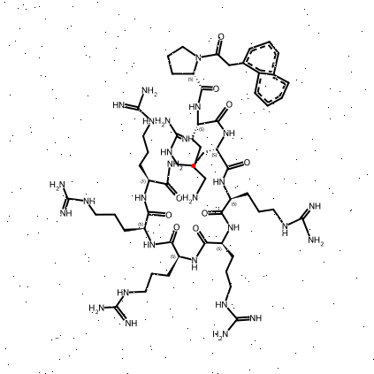 N=C(N)NCCC[C@H](NC(=O)[C@H](CCCNC(=N)N)NC(=O)[C@H](CCCNC(=N)N)NC(=O)[C@H](CCCNC(=N)N)NC(=O)[C@H](CCCNC(=N)N)NC(=O)[C@H](CCCNC(=N)N)NC(=O)[C@H](CCCCN)NC(=O)[C@@H]1CCCN1C(=O)Cc1cccc2ccccc12)C(N)=O